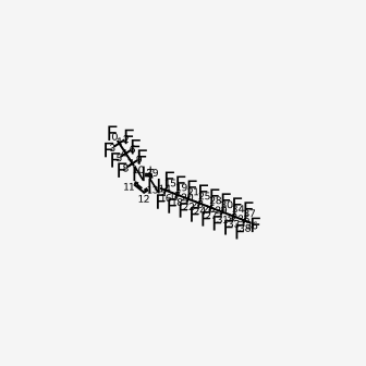 FC(F)(F)C(F)(F)C(F)(F)[n+]1ccn(C(F)(F)C(F)(F)C(F)(F)C(F)(F)C(F)(F)C(F)(F)C(F)(F)C(F)(F)F)c1